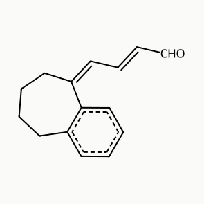 O=C/C=C/C=C1/CCCCc2ccccc21